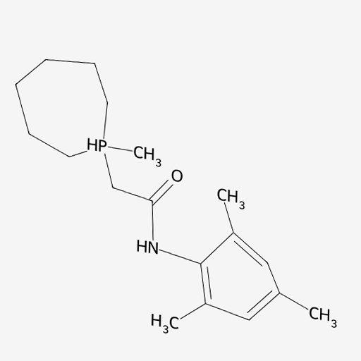 Cc1cc(C)c(NC(=O)C[PH]2(C)CCCCCC2)c(C)c1